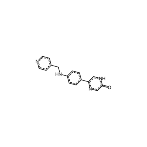 O=c1cnc(-c2ccc(NCc3ccncc3)cc2)c[nH]1